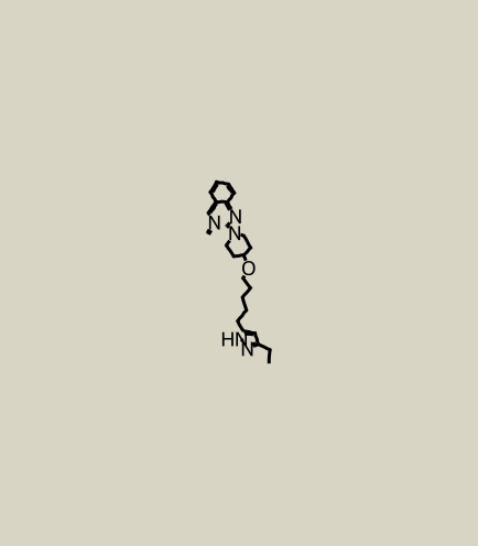 C=N/C=C1/C=CC=C/C1=N/CN1CCC(OCCCCCc2cc(CC)n[nH]2)CC1